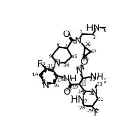 CNCCN(C(=O)C1CCN(c2c(F)cncc2NC(=O)C(C(N)N=O)C2NCC(F)CN2C)CC1)C1CC1